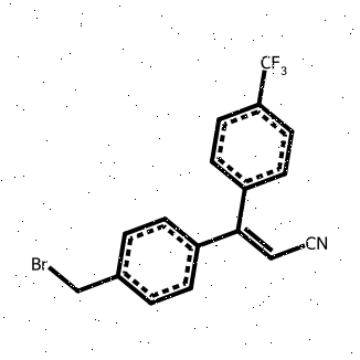 N#C/C=C(/c1ccc(CBr)cc1)c1ccc(C(F)(F)F)cc1